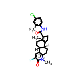 CN1C(=O)C(F)=C[C@@]2(C)C1CC[C@@H]1[C@H]2CC[C@]2(C)C(C(=O)Nc3ccc(Cl)cc3C(F)(F)F)CC[C@@H]12